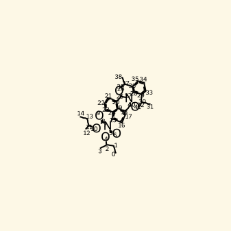 CCC(C)OC(=O)N(C(=O)OC(C)CC)c1ccc2c3c(cccc13)C(=O)N(c1c(C(C)C)cccc1C(C)C)C2=O